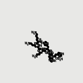 NCCCC[C@H](NC(=O)[C@H](CCCCN)NC(=O)[C@@H](N)CCCCN)C(=O)N[C@@H](Cc1c[nH]cn1)C(=O)N[C@@H](Cc1c[nH]cn1)C(=O)N[C@@H](Cc1c[nH]cn1)C(=O)O